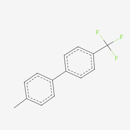 Cc1ccc(-c2ccc(C(F)(F)F)cc2)cc1